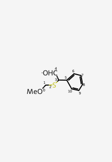 COCSC([C]=O)c1ccccc1